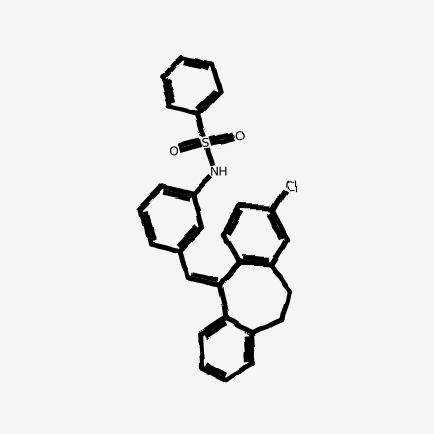 O=S(=O)(Nc1cccc(C=C2c3ccccc3CCc3cc(Cl)ccc32)c1)c1ccccc1